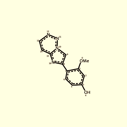 COc1cc(O)ccc1-c1cn2nnccc2n1